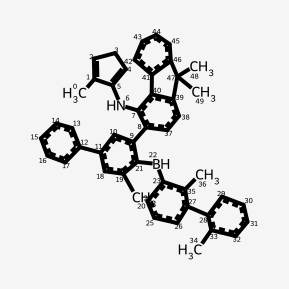 CC1=CCC=C1Nc1c(-c2cc(-c3ccccc3)cc(C)c2Bc2cccc(-c3ccccc3C)c2C)ccc2c1-c1ccccc1C2(C)C